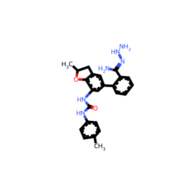 Cc1ccc(NC(=O)Nc2cc(-c3ccccc3/C(N)=N/NN)cc3c2OC(C)C3)cc1